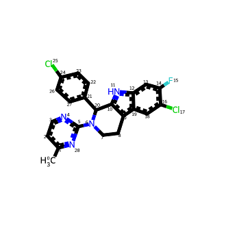 Cc1ccnc(N2CCc3c([nH]c4cc(F)c(Cl)cc34)C2c2ccc(Cl)cc2)n1